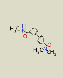 CCNC(=O)c1cccc(-c2ccc(C(=O)N(C)C)cc2)c1